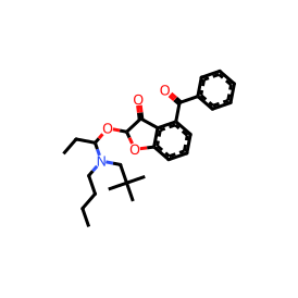 CCCCN(CC(C)(C)C)C(CC)OC1Oc2cccc(C(=O)c3ccccc3)c2C1=O